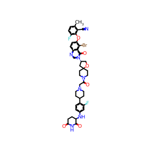 Cc1ccc(F)c(Oc2ccc3ncn([C@@H]4COC5(CCN(C(=O)CN6CCC(c7ccc(NC8CCC(=O)NC8=O)cc7F)CC6)CC5)C4)c(=O)c3c2Br)c1C#N